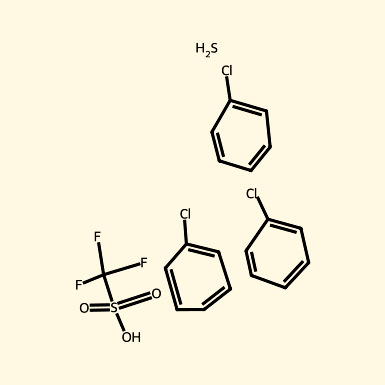 Clc1ccccc1.Clc1ccccc1.Clc1ccccc1.O=S(=O)(O)C(F)(F)F.S